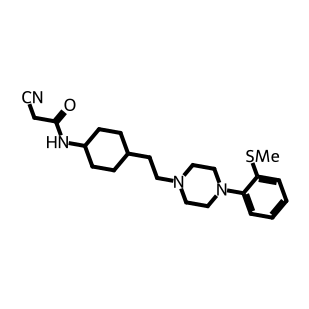 CSc1ccccc1N1CCN(CCC2CCC(NC(=O)CC#N)CC2)CC1